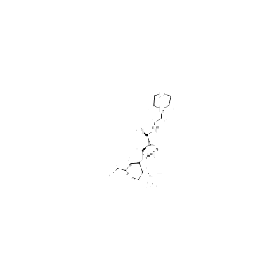 CS[C@@H]1OC(CO)[C@H](O)C(n2cc(C(=O)NCCN3CCOCC3)nn2)[C@@H]1O